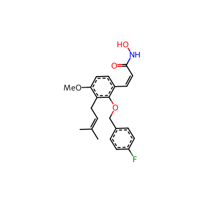 COc1ccc(/C=C\C(=O)NO)c(OCc2ccc(F)cc2)c1CC=C(C)C